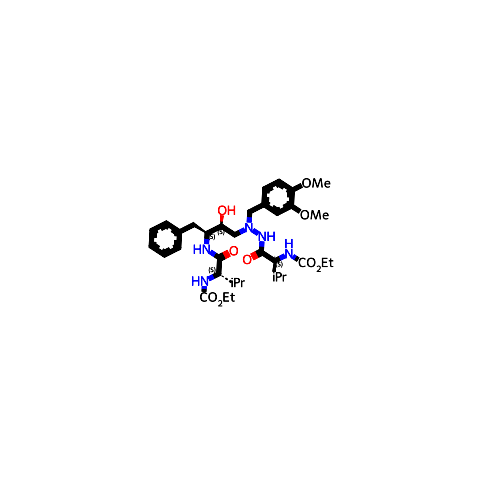 CCOC(=O)N[C@H](C(=O)N[C@@H](Cc1ccccc1)[C@@H](O)CN(Cc1ccc(OC)c(OC)c1)NC(=O)[C@@H](NC(=O)OCC)C(C)C)C(C)C